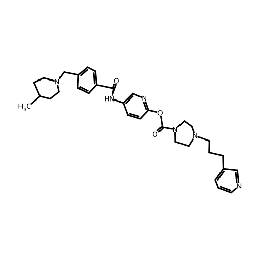 CC1CCN(Cc2ccc(C(=O)Nc3ccc(OC(=O)N4CCN(CCCc5cccnc5)CC4)nc3)cc2)CC1